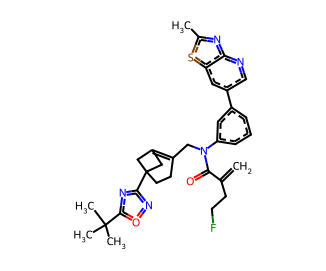 C=C(CCF)C(=O)N(CC1=C2CC(c3noc(C(C)(C)C)n3)(CC1)C2)c1cccc(-c2cnc3nc(C)sc3c2)c1